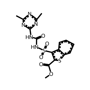 COC(=O)c1sc2ccccc2c1S(=O)(=O)NC(=O)Nc1nc(C)nc(C)n1